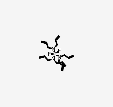 C=CCN(CC=C)P(F)(F)(N(CC=C)CC=C)N(CC=C)CC=C